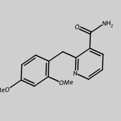 COc1ccc(Cc2ncccc2C(N)=O)c(OC)c1